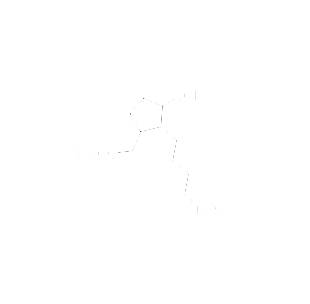 CCCCCCCCCCCCC1C(O)CCC1CC(=O)O